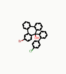 OC1(c2ccccc2-c2ccc(Cl)cc2)c2ccccc2-c2ccccc2-c2cc(Br)ccc21